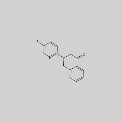 O=C1CC(c2ccc(F)cn2)Cc2ccccc21